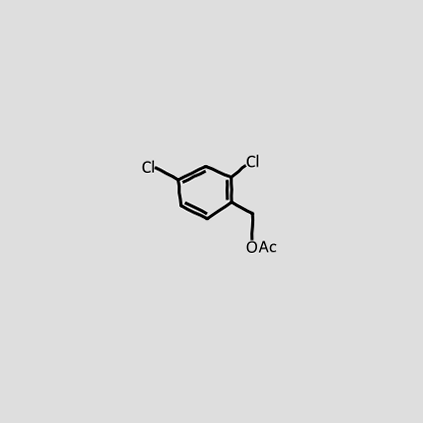 CC(=O)OCc1ccc(Cl)cc1Cl